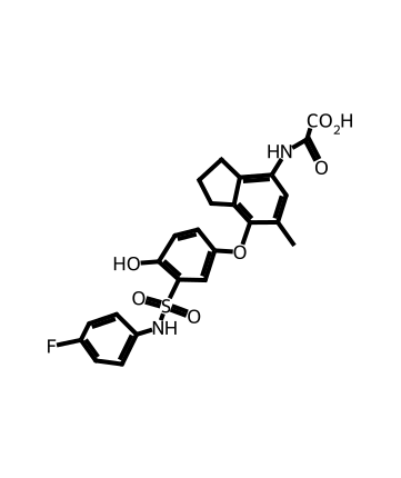 Cc1cc(NC(=O)C(=O)O)c2c(c1Oc1ccc(O)c(S(=O)(=O)Nc3ccc(F)cc3)c1)CCC2